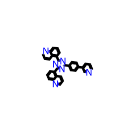 c1cncc(-c2ccc(-c3nc(-c4cccc5ncccc45)nc(-c4cccc5ncccc45)n3)cc2)c1